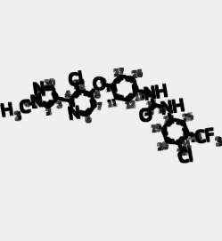 Cn1cc(-c2nccc(Oc3ccc(NC(=O)Nc4ccc(Cl)c(C(F)(F)F)c4)cc3)c2Cl)cn1